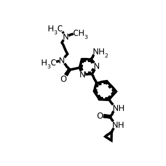 CN(C)CCN(C)C(=O)c1cc(N)nc(-c2ccc(NC(=O)NC3CC3)cc2)n1